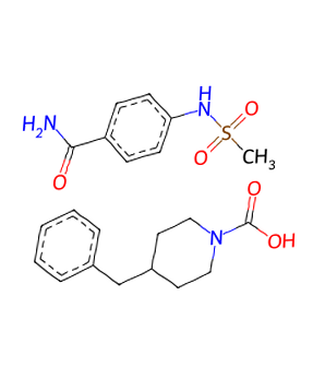 CS(=O)(=O)Nc1ccc(C(N)=O)cc1.O=C(O)N1CCC(Cc2ccccc2)CC1